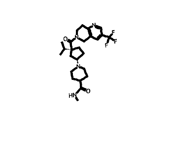 CNC(=O)C1CCN([C@H]2CC[C@@](C(=O)N3CCc4ncc(C(F)(F)F)cc4C3)(C(C)C)C2)CC1